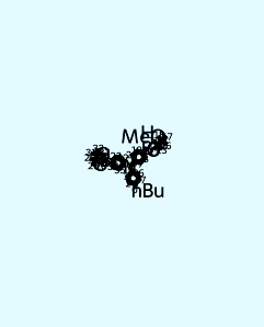 CCCCc1ccc(N(c2ccc(BOC(C)(C)C(C)(C)OC)cc2)c2ccc(B3OC(C)(C)C(C)(C)O3)cc2)cc1